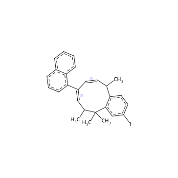 CC1/C=C\C(c2cccc3ccccc23)=C/C(C)C(C)(C)c2cc(I)ccc21